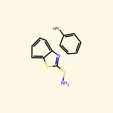 CCCc1ccccc1.NSc1nc2ccccc2s1